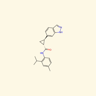 Cc1ccc(NC(=O)[C@@H]2C[C@H]2c2ccc3cn[nH]c3c2)c(C(C)C)c1